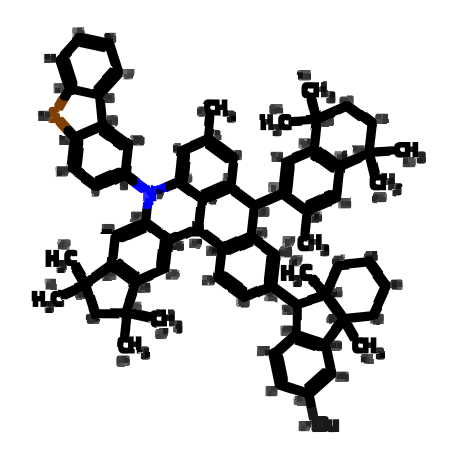 Cc1cc2c3c(c1)N(c1ccc4sc5ccccc5c4c1)c1cc4c(cc1B3c1ccc(C3c5ccc(C(C)(C)C)cc5C5(C)CCCCC35C)cc1C2c1cc2c(cc1C)C(C)(C)CCC2(C)C)C(C)(C)CC4(C)C